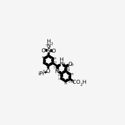 CC(C)Oc1ccc(S(N)(=O)=O)cc1-c1nc2ccc(C(=O)O)cc2c(=O)[nH]1